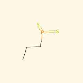 CCCP(=S)=S